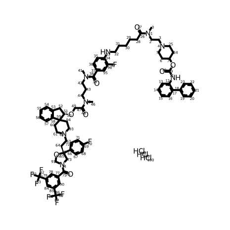 CN(CCN1CCC(OC(=O)Nc2ccccc2-c2ccccc2)CC1)C(=O)CCCCCNc1ccc(C(=O)N(C)CCCN(C)C(=O)CO[C@H]2Cc3ccccc3C23CCN(CC[C@@]2(c4ccc(F)cc4)CN(C(=O)c4cc(C(F)(F)F)cc(C(F)(F)F)c4)CO2)CC3)cc1F.Cl.Cl.Cl